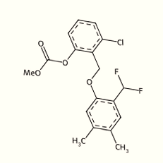 COC(=O)Oc1cccc(Cl)c1COc1cc(C)c(C)cc1C(F)F